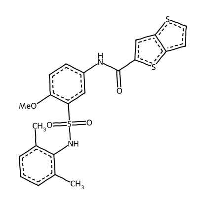 COc1ccc(NC(=O)c2cc3sccc3s2)cc1S(=O)(=O)Nc1c(C)cccc1C